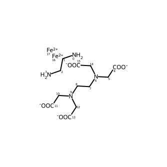 NCCN.O=C([O-])CN(CCN(CC(=O)[O-])CC(=O)[O-])CC(=O)[O-].[Fe+2].[Fe+2]